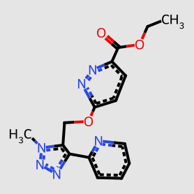 CCOC(=O)c1ccc(OCc2c(-c3ccccn3)nnn2C)nn1